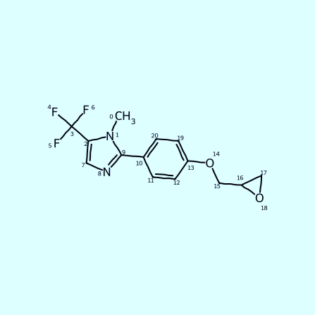 Cn1c(C(F)(F)F)cnc1-c1ccc(OCC2CO2)cc1